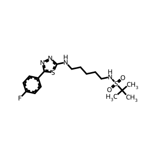 CC(C)(C)S(=O)(=O)NCCCCCNc1nnc(-c2ccc(F)cc2)s1